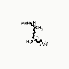 C=CC(CC(=O)N(C)CCCCCC(=C)NCCNC)SC